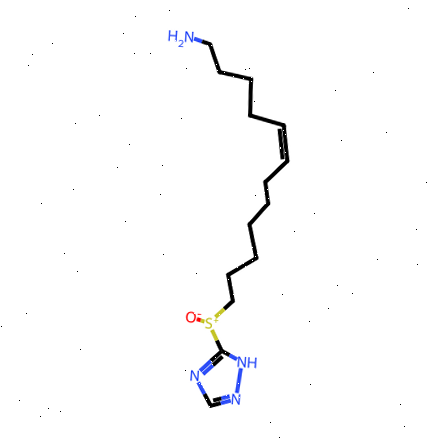 NCCCC/C=C\CCCCCC[S+]([O-])c1ncn[nH]1